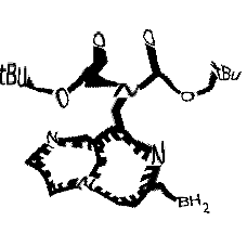 Bc1cn2ccnc2c(N(C(=O)OC(C)(C)C)C(=O)OC(C)(C)C)n1